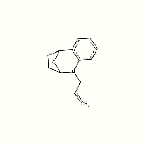 C=CCN1c2ccccc2C2CCC1O2